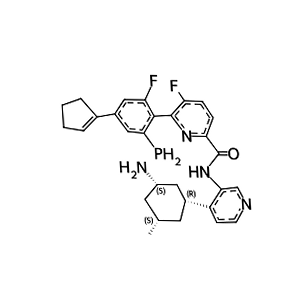 C[C@@H]1C[C@H](N)C[C@H](c2ccncc2NC(=O)c2ccc(F)c(-c3c(F)cc(C4=CCCC4)cc3P)n2)C1